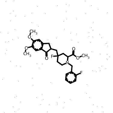 COC(=O)C1CC(F)(CC2Cc3cc(OC)c(OC)cc3C2=O)CCN1Cc1ccccc1F